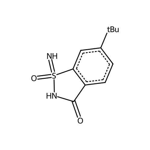 CC(C)(C)c1ccc2c(c1)S(=N)(=O)NC2=O